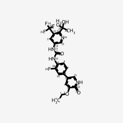 CCOc1cc(-c2ccc(NC(=O)Nc3cnc(C(C)(C)O)c(C(F)(F)F)c3)c(F)c2)c[nH]c1=O